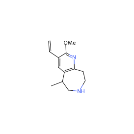 C=Cc1cc2c(nc1OC)CCNCC2C